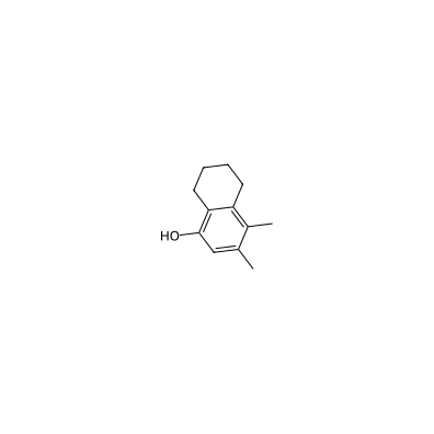 Cc1cc(O)c2c(c1C)CCCC2